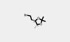 C[C@H]1OC(C)(C)O[C@@H]1CCBr